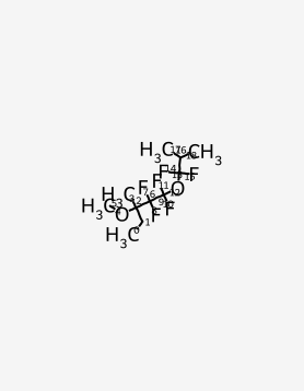 CCC(C)(OC)C(F)(F)C(F)(F)OC(F)(F)C(C)C